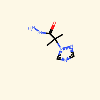 CC(C)(C(=O)NN)n1cncn1